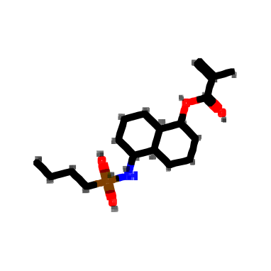 C=C(C)C(=O)OC1CCCC2C(NS(=O)(=O)CCCC)CCCC12